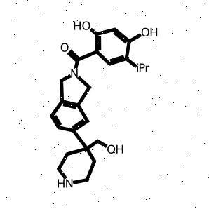 CC(C)c1cc(C(=O)N2Cc3ccc(C4(CO)CCNCC4)cc3C2)c(O)cc1O